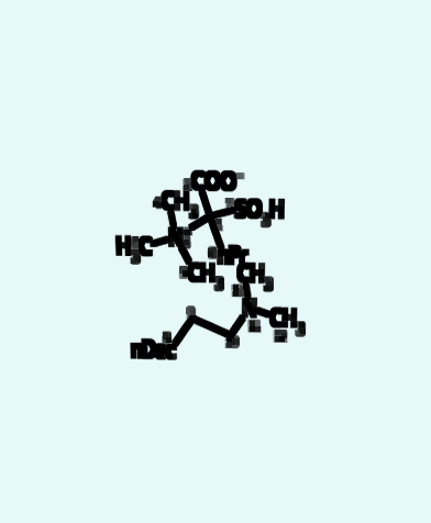 CCCC(C(=O)[O-])([N+](C)(C)C)S(=O)(=O)O.CCCCCCCCCCCCN(C)C